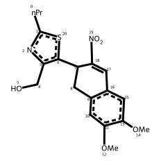 CCCc1nc(CO)c(C2Cc3cc(OC)c(OC)cc3C=C2[N+](=O)[O-])s1